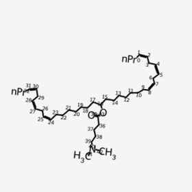 CCC/C=C\C/C=C\C/C=C\CCCCCCCC(CCCCCCC/C=C\C/C=C\C/C=C\CCC)OC(=O)CCCCN(C)C